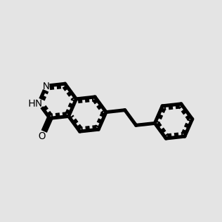 O=c1[nH]ncc2cc(CCc3ccccc3)ccc12